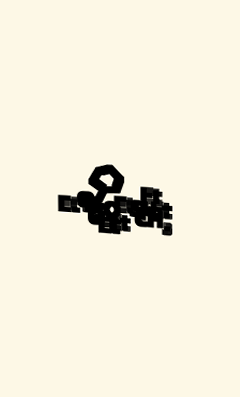 CCO[Si](OCC)(OCC)c1ccccc1.CC[Si](C)(CC)CC